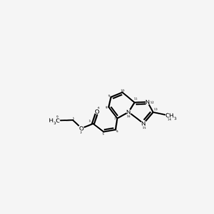 CCOC(=O)/C=C\c1cccc2nc(C)nn12